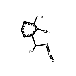 CCC(N=C=O)c1cccc(C)c1C